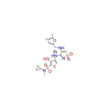 Cc1cc([C@H](NC2=CS(=O)(=O)N=C2Nc2csc(S(=O)(=O)N(C)C3CC3)c2O)C(C)C)oc1C